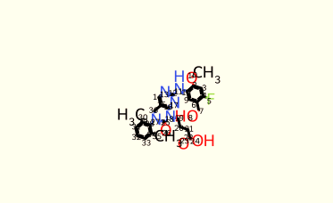 COc1cc(F)c(CO)cc1Nc1ncc2c(n1)N(CCCC(=O)O)C(=O)N(c1c(C)cccc1C)C2